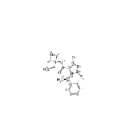 C=CC1(OC(=O)c2c(F)nc(F)n2[C@H](C)c2ccccc2)COC1